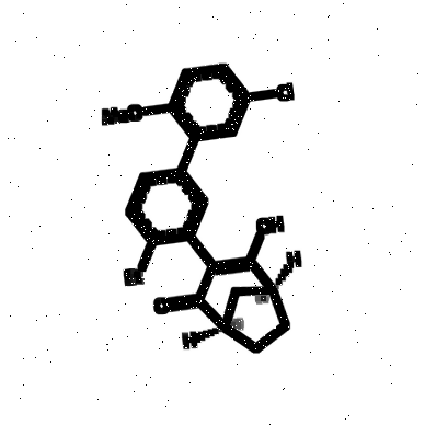 CCc1ccc(-c2cc(Cl)ccc2OC)cc1C1=C(O)[C@H]2CC[C@H](C2)C1=O